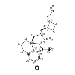 C=CC[C@@H]1CC[C@H]1CN(C=C)C[C@]1(COC(C)C)CCCc2cc(Cl)ccc21